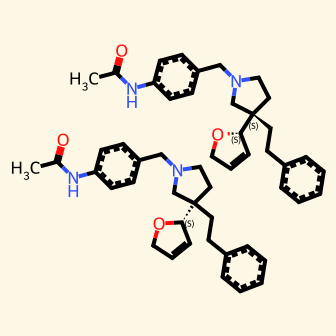 CC(=O)Nc1ccc(CN2CCC(CCc3ccccc3)([C@@H]3C=CCO3)C2)cc1.CC(=O)Nc1ccc(CN2CC[C@](CCc3ccccc3)([C@@H]3C=CCO3)C2)cc1